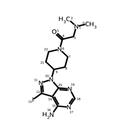 CN(C)CC(=O)N1CCC(n2nc(I)c3c(N)ncnc32)CC1